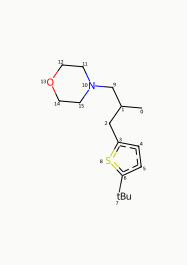 CC(Cc1ccc(C(C)(C)C)s1)CN1CCOCC1